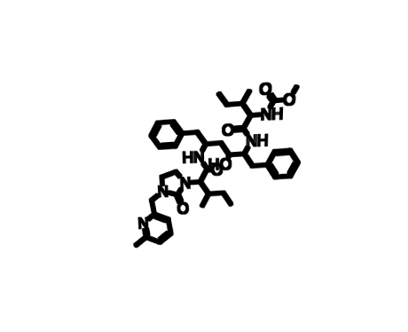 CCC(C)C(NC(=O)OC)C(=O)NC(Cc1ccccc1)C(O)CC(Cc1ccccc1)NC(=O)C(C(C)CC)N1CCN(Cc2cccc(C)n2)C1=O